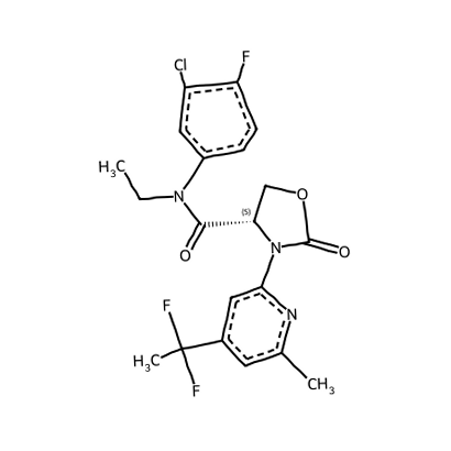 CCN(C(=O)[C@@H]1COC(=O)N1c1cc(C(C)(F)F)cc(C)n1)c1ccc(F)c(Cl)c1